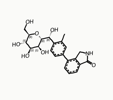 Cc1cc(-c2cccc3c2CNC3=O)ccc1[C@@H](O)[C@H]1O[C@H](CO)[C@@H](O)[C@H](O)[C@@H]1O